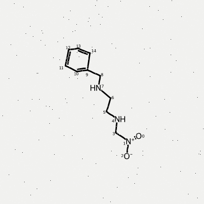 O=[N+]([O-])CNCCNCc1ccccc1